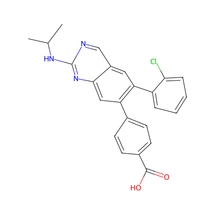 CC(C)Nc1ncc2cc(-c3ccccc3Cl)c(-c3ccc(C(=O)O)cc3)cc2n1